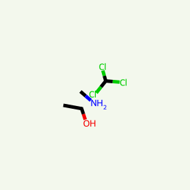 CCO.CN.ClC(Cl)Cl